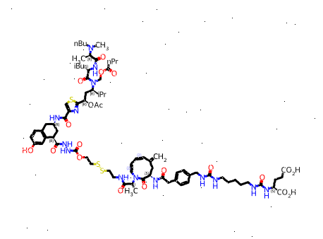 C=C1/C=C\C=C/N([C@@H](C)C(=O)NCCSSCCOC(=O)NNC(=O)[C@@H]2C[C@@H](NC(=O)c3csc([C@@H](C[C@H](C(C)C)N(COC(=O)CCC)C(=O)C(NC(=O)[C@@H](C)N(C)CCCC)[C@@H](C)CC)OC(C)=O)n3)Cc3ccc(O)cc32)C(=O)[C@@H](NC(=O)Cc2ccc(CNC(=O)NCCCCCNC(=O)N[C@@H](CCC(=O)O)C(=O)O)cc2)C1